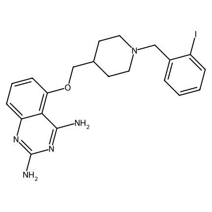 Nc1nc(N)c2c(OCC3CCN(Cc4ccccc4I)CC3)cccc2n1